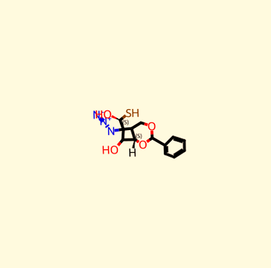 [N-]=[N+]=NC1([C@@H](O)S)C(O)[C@H]2OC(c3ccccc3)OCC21